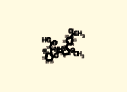 COc1ccc(C(=O)NC(CC(=O)O)c2ccccc2F)nc1-c1ccc(C(C)=O)cc1